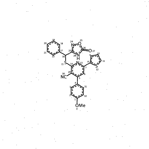 COc1ccc(-c2cc(-c3cccs3)nc(SC(c3ccccc3)c3noc(=O)[nH]3)c2C#N)cc1